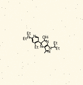 CCc1cc(N(CC)CC)ncc1-c1nc2c(C)nn(C(CC)CC)c2nc1O